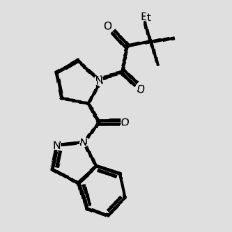 CCC(C)(C)C(=O)C(=O)N1CCCC1C(=O)n1ncc2ccccc21